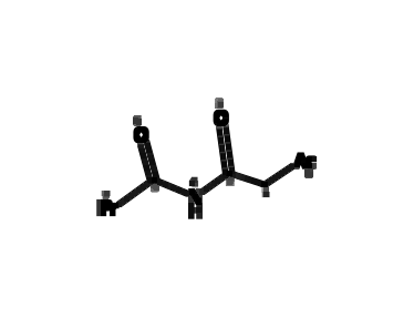 CC(=O)CC(=O)NC(=O)C(C)C